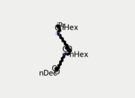 CCCCCCCCCCOC(=O)CCCCCCC/C=C\CC(CCCCCC)C(C)(C)OC(=O)CCCCCCC/C=C\CC(CCCCCC)OC(C)C